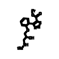 CC(C)OC(=O)c1snnc1-c1ccccc1OCC(O)CNC(C)(C)C